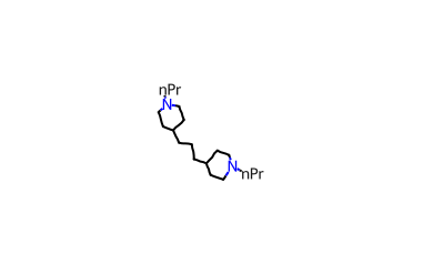 CCCN1CCC(CCCC2CCN(CCC)CC2)CC1